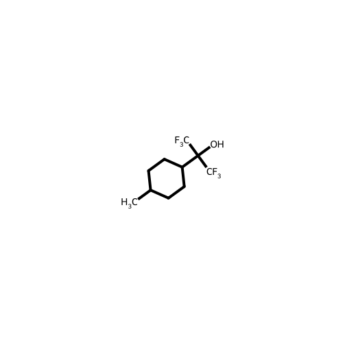 CC1CCC(C(O)(C(F)(F)F)C(F)(F)F)CC1